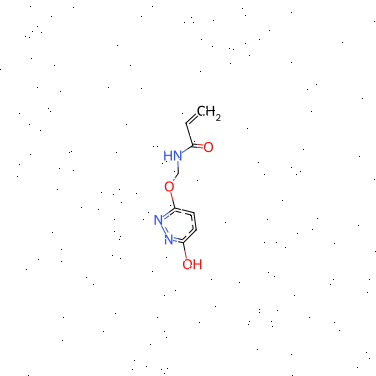 C=CC(=O)NCOc1ccc(O)nn1